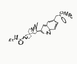 CCNC(=O)N1CCC2(CCn3nc(-c4cnc5ccc(CC(=O)OC)cc5c4)cc32)C1